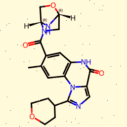 Cc1cc2c(cc1C(=O)N1C[C@@H]3N[C@H]1CO3)[nH]c(=O)c1cnc(C3CCOCC3)n12